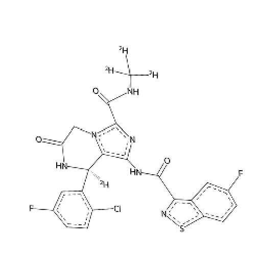 [2H]C([2H])([2H])NC(=O)c1nc(NC(=O)c2nsc3ccc(F)cc23)c2n1CC(=O)N[C@]2([2H])c1cc(F)ccc1Cl